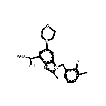 COC(O)c1cc(N2CCOCC2)cc2c1nc(C)n2Cc1cccc(C)c1F